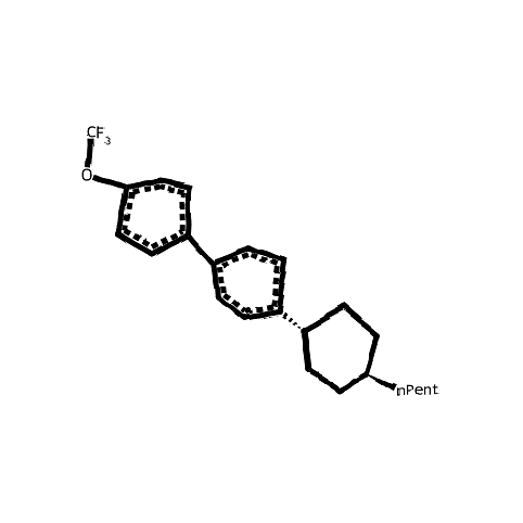 CCCCC[C@H]1CC[C@H](c2ccc(-c3ccc(OC(F)(F)F)cc3)cc2)CC1